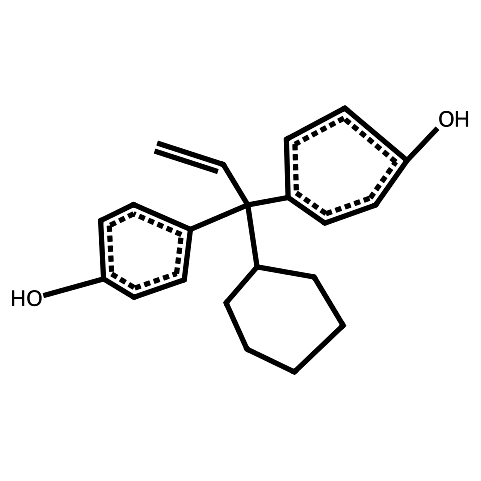 C=CC(c1ccc(O)cc1)(c1ccc(O)cc1)C1CCCCC1